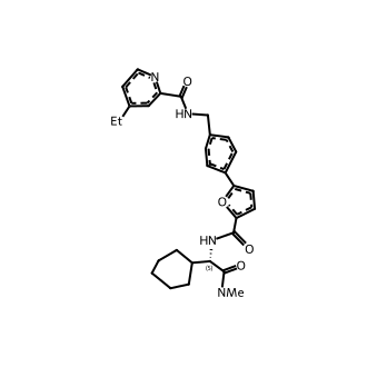 CCc1ccnc(C(=O)NCc2ccc(-c3ccc(C(=O)N[C@H](C(=O)NC)C4CCCCC4)o3)cc2)c1